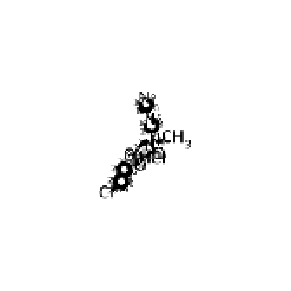 CCN(C1CCN(c2ccncc2)CC1)N1CCN(S(=O)(=O)c2ccc3cc(Cl)ccc3c2)CC1=O.Cl